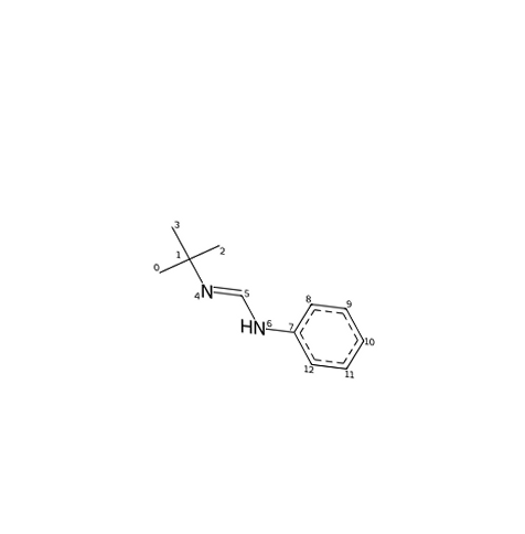 CC(C)(C)/N=C/Nc1ccccc1